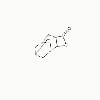 O=C1O[C]2C3CC4CC(C3)CC21C4